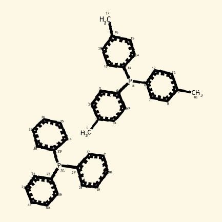 Cc1ccc(P(c2ccc(C)cc2)c2ccc(C)cc2)cc1.c1ccc(P(c2ccccc2)c2ccccc2)cc1